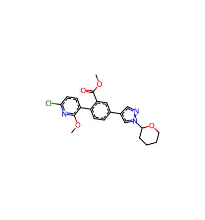 COC(=O)c1cc(-c2cnn(C3CCCCO3)c2)ccc1-c1ccc(Cl)nc1OC